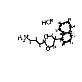 Cl.NCCCC1OCC(c2cccc3ccccc23)CO1